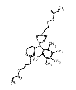 C=CC(=O)OCCCc1ccc(N(c2cccc(CCCOC(=O)C=C)c2)c2c(C)c(C)c(C)c(C)c2C)cc1